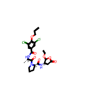 C=CCOc1c(Cl)cc(C(=O)N[C@@H](C)C(=O)N2CCC[C@H]2C(=O)N[C@H]2CC(=O)OC2OCC)cc1Cl